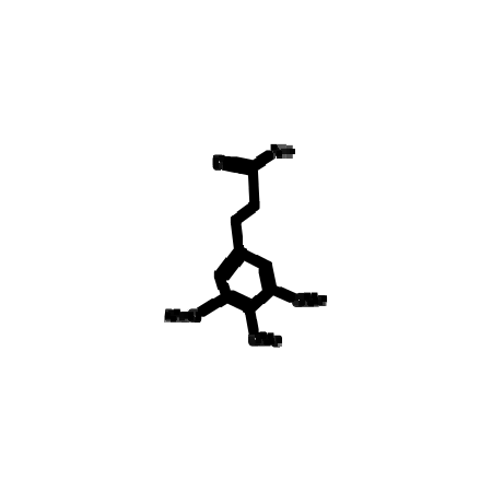 COc1cc(CCC([NH])=O)cc(OC)c1OC